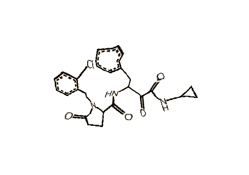 O=C(NC1CC1)C(=O)C(Cc1ccccc1)NC(=O)C1CCC(=O)N1Cc1ccccc1Cl